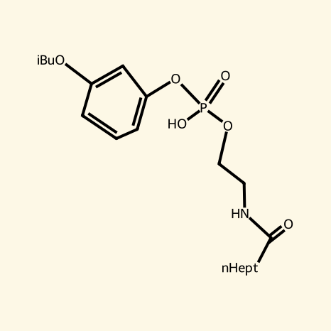 CCCCCCCC(=O)NCCOP(=O)(O)Oc1cccc(OCC(C)C)c1